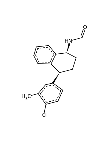 Cc1cc([C@@H]2CC[C@H](NC=O)c3ccccc32)ccc1Cl